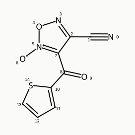 N#Cc1no[n+]([O-])c1C(=O)c1cccs1